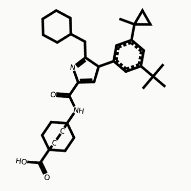 CC(C)(C)c1cc(C2C=C(C(=O)NC34CCC(C(=O)O)(CC3)CC4)N=C2CC2CCCCC2)cc(C2(C)CC2)c1